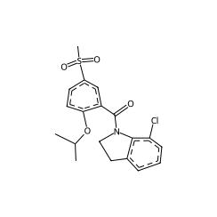 CC(C)Oc1ccc(S(C)(=O)=O)cc1C(=O)N1CCc2cccc(Cl)c21